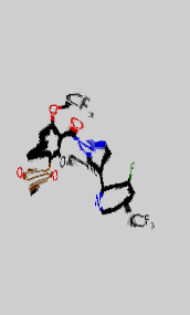 COc1c(S(C)(=O)=O)ccc(OCC(F)(F)F)c1C(=O)N1CC(c2ncc(C(F)(F)F)cc2F)C1